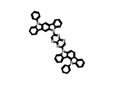 C1=CC(n2c3ccccc3c3ccc4c(c5ccccc5n4-c4cnc5nc(-n6c7ccccc7c7cc8c(cc76)c6c(n8-c7ccccc7)=CCCC=6)cnc5n4)c32)=CCC1